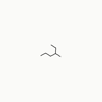 [CH]C(CC)CCC